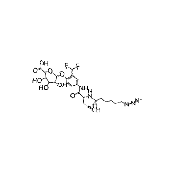 C#CCC(NC(=O)CCCCCN=[N+]=[N-])C(=O)Nc1ccc(OC2OC(C(=O)O)C(O)C(O)C2O)c(C(F)F)c1